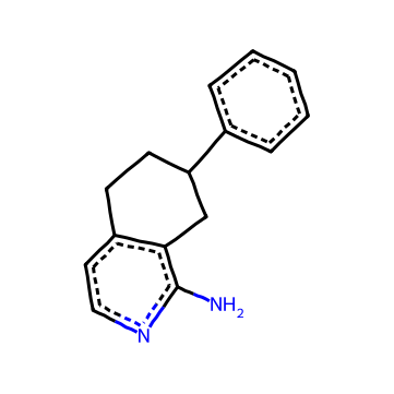 Nc1nccc2c1CC(c1ccccc1)CC2